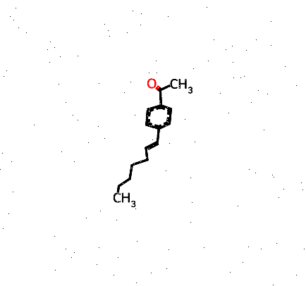 CCCCCC=Cc1ccc(C(C)=O)cc1